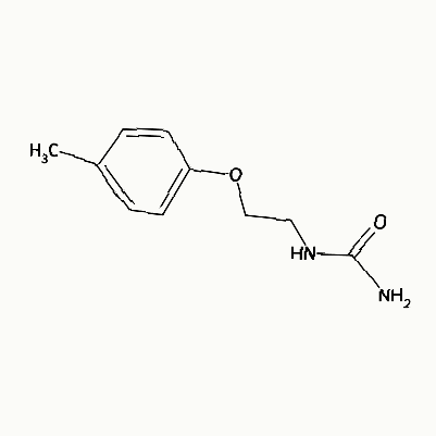 Cc1ccc(OCCNC(N)=O)cc1